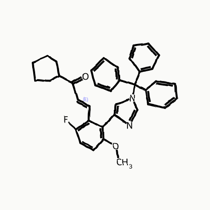 COc1ccc(F)c(/C=C/C(=O)C2CCCCC2)c1-c1cn(C(c2ccccc2)(c2ccccc2)c2ccccc2)cn1